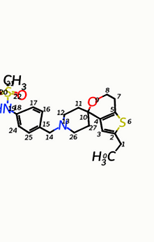 CCc1cc2c(s1)CCOC21CCN(Cc2ccc(NS(C)(=O)=O)cc2)CC1